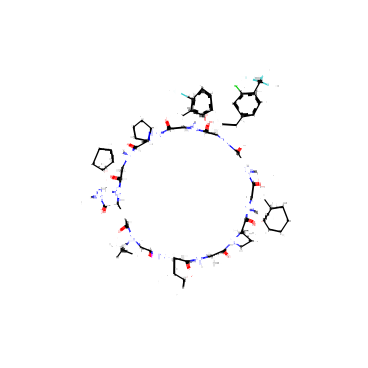 CC[C@H](C)[C@@H]1NC(=O)[C@H](CC(C)C)N(C)C(=O)C[C@@H](C(=O)N(C)C)N(C)C(=O)[C@H](C2CCCC2)N(C)C(=O)C2(CCCC2)NC(=O)[C@H](Cc2ccccc2F)N(C)C(=O)[C@H](CCc2ccc(C(F)(F)F)c(Cl)c2)NC(=O)CN(C)C(=O)[C@H](CC2CCCCC2)N(C)C(=O)[C@@H]2CCN2C(=O)[C@H](C)N(C)C1=O